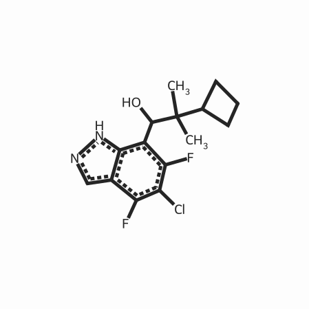 CC(C)(C1CCC1)C(O)c1c(F)c(Cl)c(F)c2cn[nH]c12